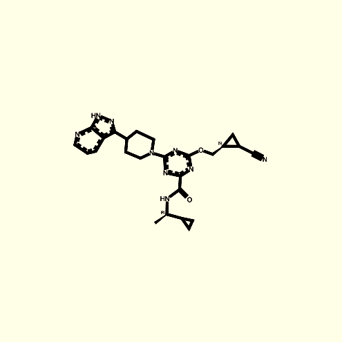 C[C@@H](NC(=O)c1nc(OC[C@H]2CC2C#N)nc(N2CCC(c3n[nH]c4ncccc34)CC2)n1)C1CC1